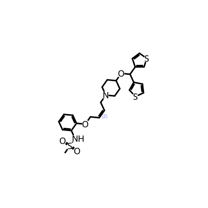 CS(=O)(=O)Nc1ccccc1OC/C=C\CN1CCC(OC(c2ccsc2)c2ccsc2)CC1